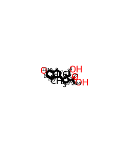 CC1(CCO)C(C2CCC3=CC(=O)C=C[C@]3(C)C2)CC[C@@H]1C(=O)CO